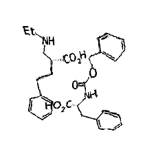 CCNC[C@@H](CCc1ccccc1)C(=O)O.O=C(N[C@H](Cc1ccccc1)C(=O)O)OCc1ccccc1